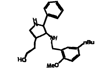 CCCCc1ccc(OC)c(CNC2C(CCO)CNC2c2ccccc2)c1